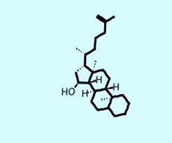 C=C(C)CCC[C@@H](C)[C@H]1C[C@H](O)[C@H]2[C@@H]3CCC4CCCC[C@]4(C)[C@H]3CC[C@@]21C